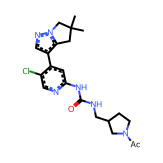 CC(=O)N1CCC(CNC(=O)Nc2cc(-c3cnn4c3CC(C)(C)C4)c(Cl)cn2)C1